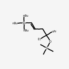 CCC[CH2][Sn](/[CH]=C/CC(CC)(CCC)O[Si](C)(C)C)([CH2]CCC)[CH2]CCC